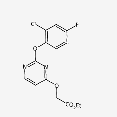 CCOC(=O)COc1ccnc(Oc2c[c]c(F)cc2Cl)n1